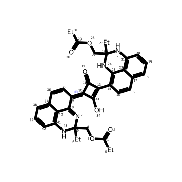 CCC(=O)OCC1(CC)N=c2/c(=C3/C(=O)C(c4ccc5cccc6c5c4NC(CC)(COC(=O)CC)N6)=C3O)ccc3cccc(c23)N1